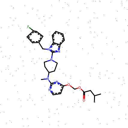 CC(C)CC(=O)OCOc1ccnc(N(C)C2CCN(c3nc4ccccc4n3Cc3ccc(F)cc3)CC2)n1